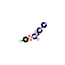 O=C1CN(S(=O)(=O)c2ccc(Cl)cc2)CC2OC3(CCN(c4ccncc4)CC3)CN12